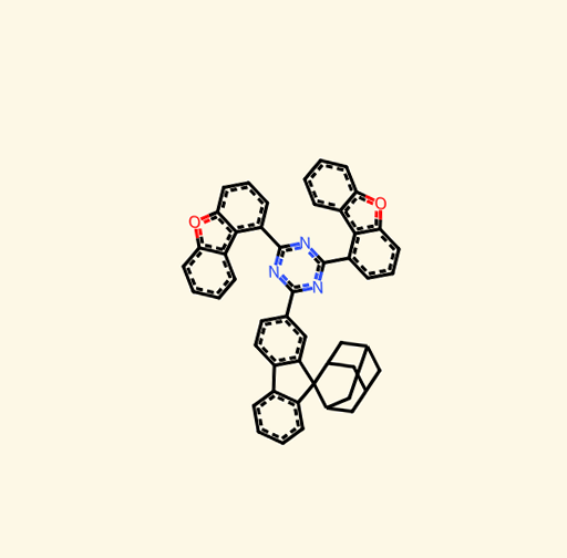 c1ccc2c(c1)-c1ccc(-c3nc(-c4cccc5oc6ccccc6c45)nc(-c4cccc5oc6ccccc6c45)n3)cc1C21C2CC3CC(C2)CC1C3